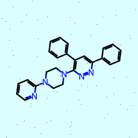 c1ccc(-c2cc(-c3ccccc3)c(N3CCN(c4ccccn4)CC3)nn2)cc1